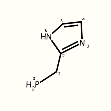 PCc1ncc[nH]1